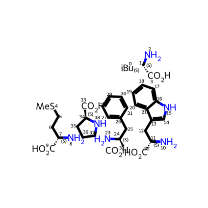 CC[C@H](C)[C@H](N)C(=O)O.CSCC[C@H](N)C(=O)O.N[C@@H](Cc1c[nH]c2ccccc12)C(=O)O.N[C@@H](Cc1ccccc1)C(=O)O.O=C(O)[C@@H]1CCCN1